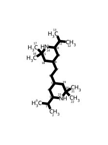 CC(C)C1CC(CCC2CC(C(C)C)NC(C)(C)C2)CC(C)(C)N1